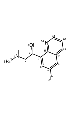 CC(C)(C)NC[C@H](O)c1cc(F)cc2cccnc12